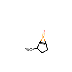 COC1CCC2=C1[PH]2=O